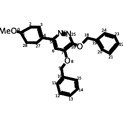 COC1CC=C(c2cc(OCc3ccccc3)c(OCc3ccccc3)nn2)CC1